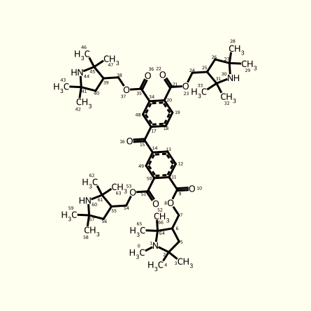 CN1C(C)(C)CC(COC(=O)c2ccc(C(=O)c3ccc(C(=O)OCC4CC(C)(C)NC4(C)C)c(C(=O)OCC4CC(C)(C)NC4(C)C)c3)cc2C(=O)OCC2CC(C)(C)NC2(C)C)C1(C)C